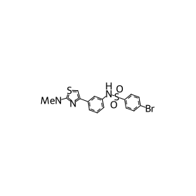 CNc1nc(-c2cccc(NS(=O)(=O)c3ccc(Br)cc3)c2)cs1